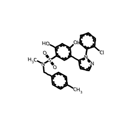 Cc1ccc(CN(C)S(=O)(=O)c2cc(-c3ccnn3-c3ccccc3Cl)c(O)cc2O)cc1